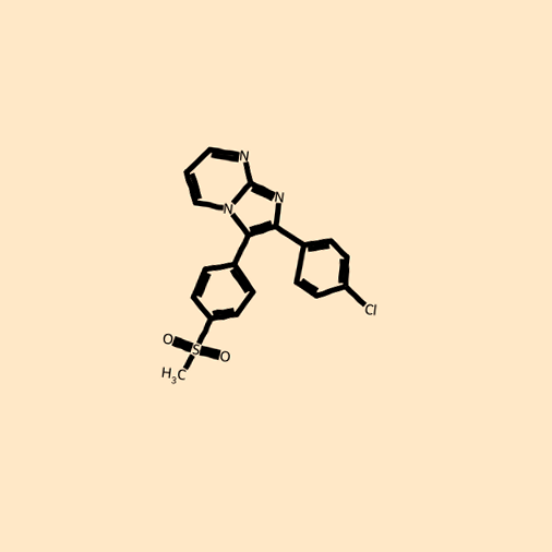 CS(=O)(=O)c1ccc(-c2c(-c3ccc(Cl)cc3)nc3ncccn23)cc1